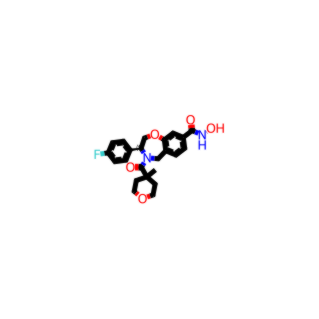 CC1(C(=O)N2Cc3ccc(C(=O)NO)cc3OC[C@@H]2c2ccc(F)cc2)CCOCC1